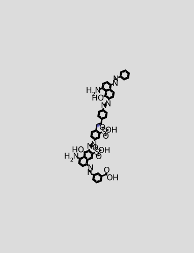 Nc1ccc(N=Nc2ccccc2)c2ccc(N=Nc3ccc(/C=C/c4ccc(N=Nc5c(S(=O)(=O)O)cc6c(N=Nc7cccc(C(=O)O)c7)ccc(N)c6c5O)cc4S(=O)(=O)O)cc3)c(O)c12